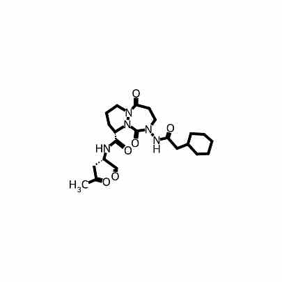 CC(=O)C[C@@H](C=O)NC(=O)[C@@H]1CCCN2C(=O)CCN(NC(=O)CC3CCCCC3)C(=O)N12